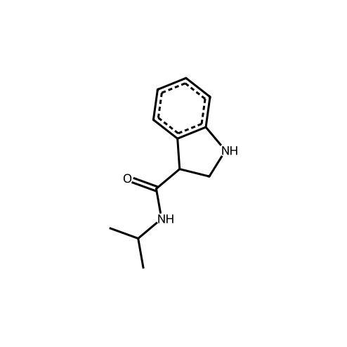 CC(C)NC(=O)C1CNc2ccccc21